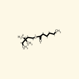 CCCCCC(=O)OCCC(C)(C)CC